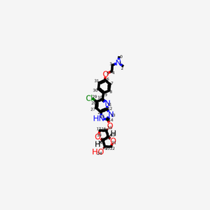 CN(C)CCOc1ccc(-c2nc3nc(O[C@@H]4CO[C@H]5[C@@H]4OC[C@H]5O)[nH]c3cc2Cl)cc1